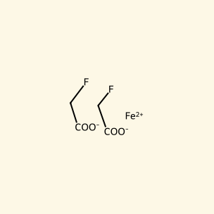 O=C([O-])CF.O=C([O-])CF.[Fe+2]